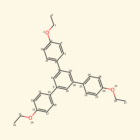 CCOc1ccc(-c2cc(-c3ccc(OCC)cc3)cc(-c3ccc(OCC)cc3)c2)cc1